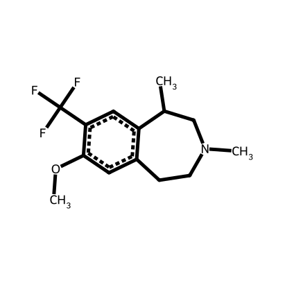 COc1cc2c(cc1C(F)(F)F)C(C)CN(C)CC2